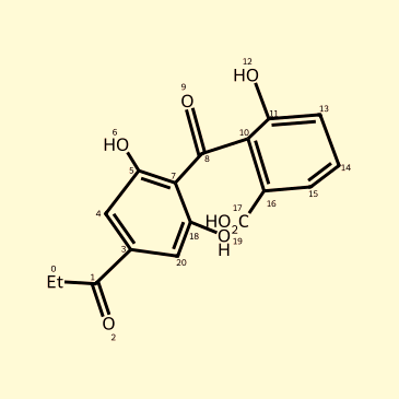 CCC(=O)c1cc(O)c(C(=O)c2c(O)cccc2C(=O)O)c(O)c1